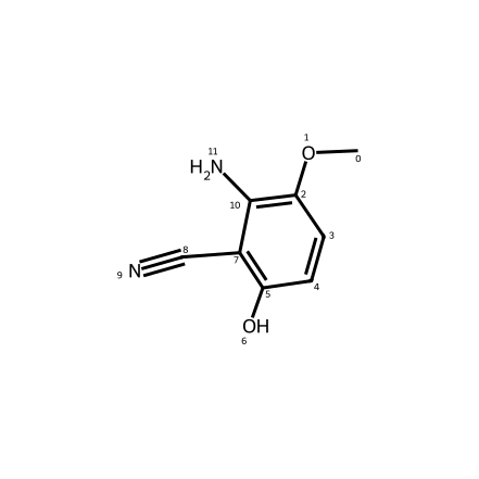 COc1ccc(O)c(C#N)c1N